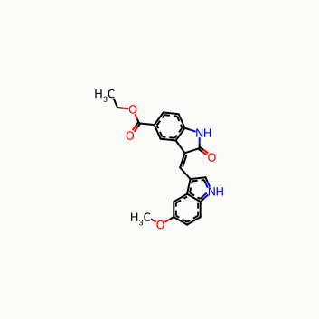 CCOC(=O)c1ccc2c(c1)C(=Cc1c[nH]c3ccc(OC)cc13)C(=O)N2